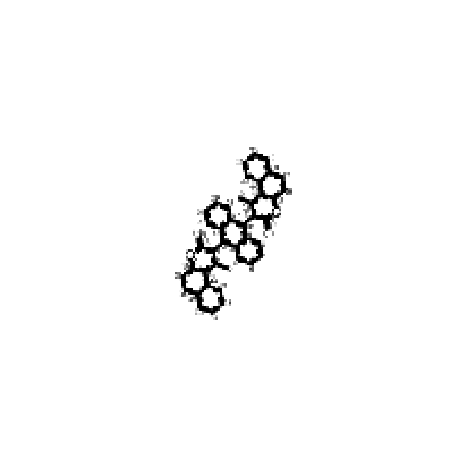 Cc1c(-c2c3ccccc3c(-c3c(C)c4c(ccc5ccccc54)oc3=O)c3ccccc23)c(=O)oc2ccc3ccccc3c12